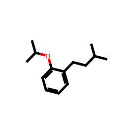 CC(C)CCc1ccccc1OC(C)C